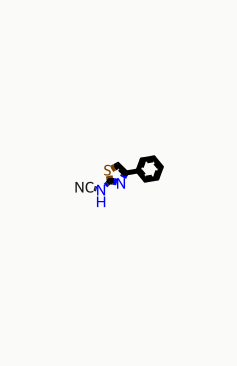 N#CNc1nc(-c2ccccc2)cs1